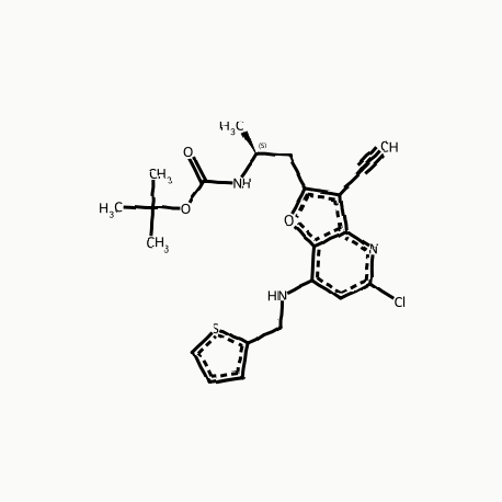 C#Cc1c(C[C@H](C)NC(=O)OC(C)(C)C)oc2c(NCc3cccs3)cc(Cl)nc12